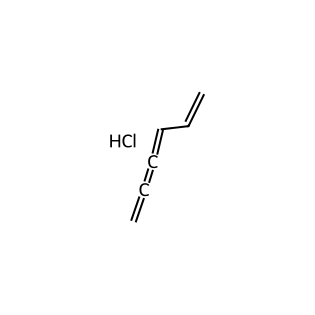 C=C=C=CC=C.Cl